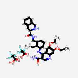 CCOc1cc2ncc(C(N)=O)c(Nc3cccc(CNC(=O)[C@H]4Cc5ccccc5CN4)c3CC)c2cc1OCC.O=C(O)C(F)(F)F.O=C(O)C(F)(F)F